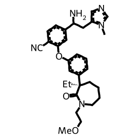 CC[C@]1(c2cccc(Oc3cc(C(N)Cc4cncn4C)ccc3C#N)c2)CCCCN(CCOC)C1=O